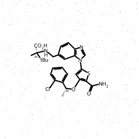 C[C@@H](Oc1cc(-n2cnc3ccc(CN[C@@](C)(C(=O)O)C(C)(C)C)cc32)sc1C(N)=O)c1ccccc1Cl